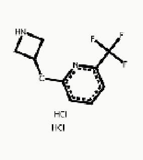 Cl.Cl.FC(F)(F)c1cccc(OC2CNC2)n1